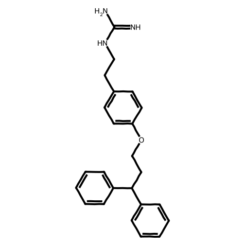 N=C(N)NCCc1ccc(OCCC(c2ccccc2)c2ccccc2)cc1